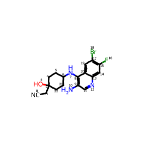 N#CCC1(O)CCC(Nc2c(N)cnc3cc(F)c(Br)cc23)CC1